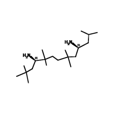 CC(C)C[C@H](N)CC(C)(C)CCC(C)(C)[C@H](N)CC(C)(C)C